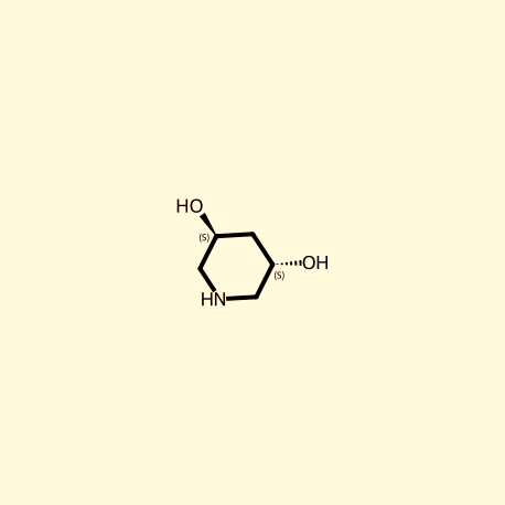 O[C@@H]1CNC[C@@H](O)C1